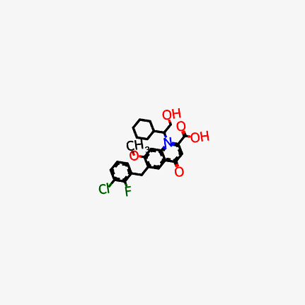 COc1cc2c(cc1Cc1cccc(Cl)c1F)c(=O)cc(C(=O)O)n2C(CO)C1CCCCC1